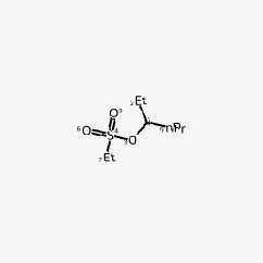 CCCC(CC)OS(=O)(=O)CC